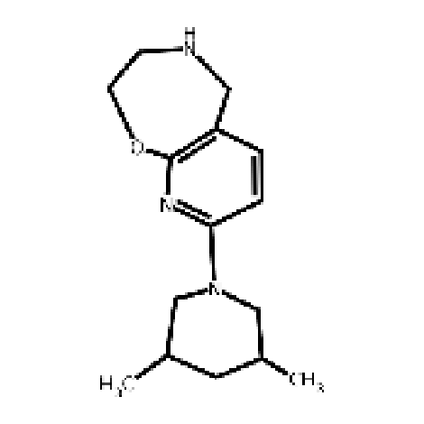 CC1CC(C)CN(c2ccc3c(n2)OCCNC3)C1